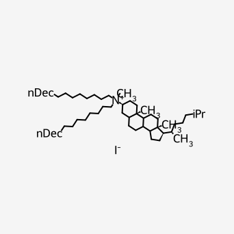 CCCCCCCCCCCCCCCCCC[N+](C)(CCCCCCCCCCCCCCCCCC)[C@H]1CC[C@@]2(C)C(CCC3C2CC[C@@]2(C)C3CC[C@@H]2[C@H](C)CCCC(C)C)C1.[I-]